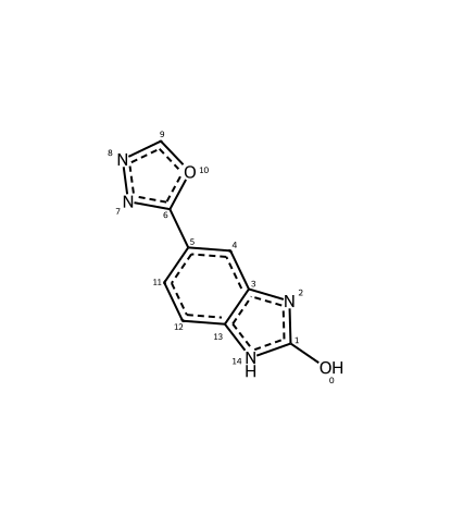 Oc1nc2cc(-c3nnco3)ccc2[nH]1